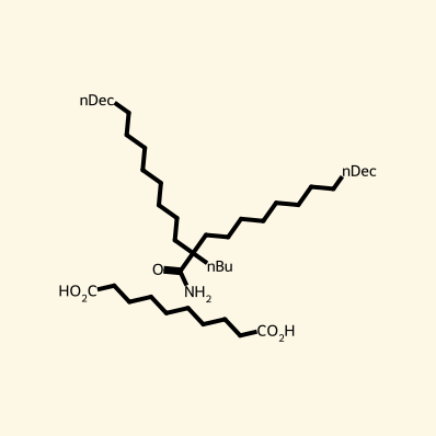 CCCCCCCCCCCCCCCCCCC(CCCC)(CCCCCCCCCCCCCCCCCC)C(N)=O.O=C(O)CCCCCCCCC(=O)O